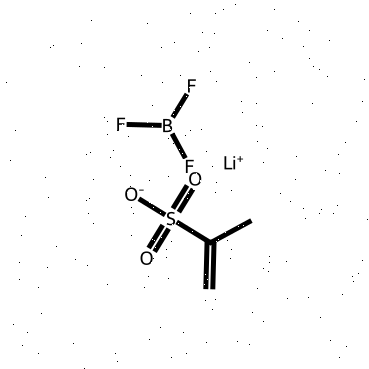 C=C(C)S(=O)(=O)[O-].FB(F)F.[Li+]